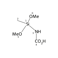 CO[Si](C)(NC(=O)O)OC